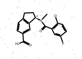 CN(C(=O)c1cc(F)ccc1Cl)[C@@H]1CCc2ccc(C(=O)O)cc21